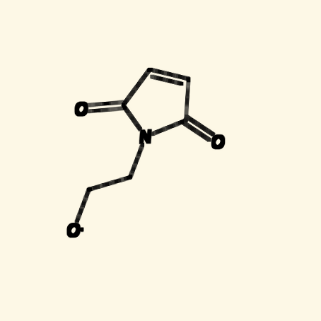 [O]CCN1C(=O)C=CC1=O